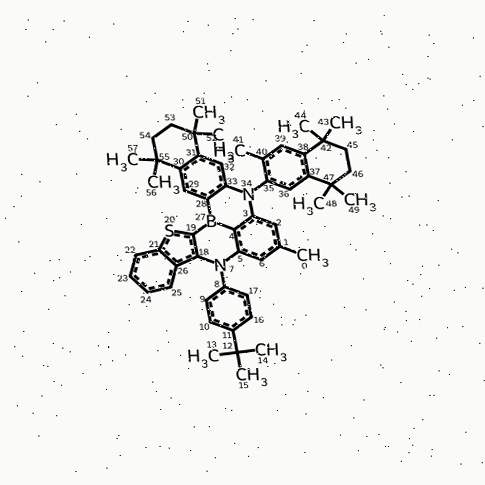 Cc1cc2c3c(c1)N(c1ccc(C(C)(C)C)cc1)c1c(sc4ccccc14)B3c1cc3c(cc1N2c1cc2c(cc1C)C(C)(C)CCC2(C)C)C(C)(C)CCC3(C)C